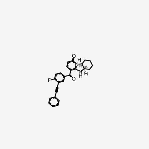 O=C(c1ccc(F)c(C#Cc2ccccc2)c1)c1ccc(=O)n2c1N[C@@H]1CCCC[C@@H]12